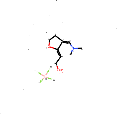 CN(C)C=C1CCOC1=CC[OH2+].F[B-](F)(F)F